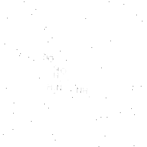 C[SiH](C)O[SiH2]OC(N)CN